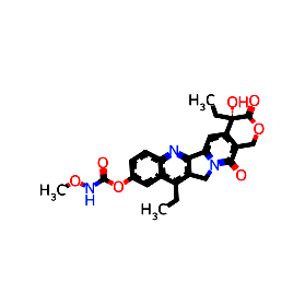 CCc1c2c(nc3ccc(OC(=O)NOC)cc13)-c1cc3c(c(=O)n1C2)COC(=O)[C@]3(O)CC